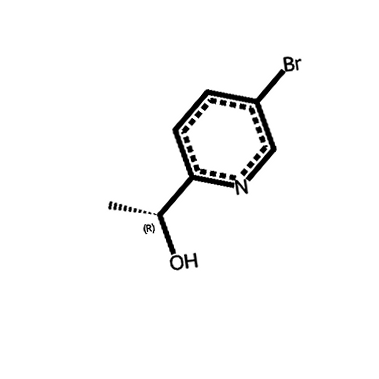 C[C@@H](O)c1ccc(Br)cn1